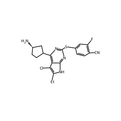 CCc1[nH]c2nc(Sc3ccc(C#N)c(F)c3)nc(C3CC[C@@H](N)C3)c2c1Cl